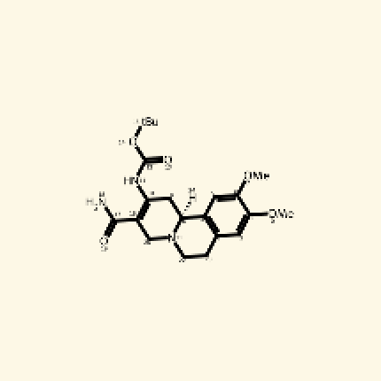 COc1cc2c(cc1OC)[C@@H]1CC(NC(=O)OC(C)(C)C)=C(C(N)=O)CN1CC2